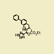 CCOC(=O)C[C@@H](Cc1ccc(-c2ccccc2)cc1Cl)NC(=O)c1nn[nH]n1